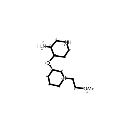 COCCN1CCC[C@@H](OC2CCNCC2N)C1